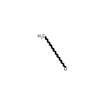 CCC=CCCC=CCC=CCCC=CCCC=CCC[C]=O